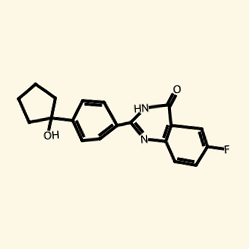 O=c1[nH]c(-c2ccc(C3(O)CCCC3)cc2)nc2ccc(F)cc12